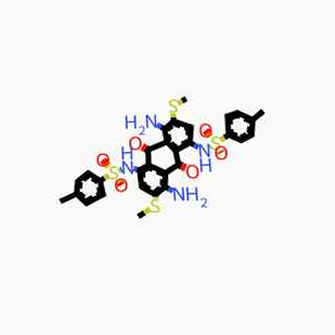 CSc1cc(NS(=O)(=O)c2ccc(C)cc2)c2c(c1N)C(=O)c1c(NS(=O)(=O)c3ccc(C)cc3)cc(SC)c(N)c1C2=O